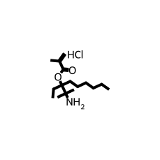 C=C(C)C(=O)OC(CC)(CCCCCC)C(C)(C)N.Cl